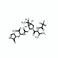 CC(C)[C@H](NC(=O)C(F)(F)F)C(=O)N1C[C@H]2[C@@H]([C@H]1CC(=O)N[C@@H](C[C@@H]1CCNC1=O)C(N)=O)C2(C)C